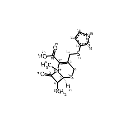 C[N+]12C(=O)C(N)[C@@H]1SCC(CSc1ccns1)=C2C(=O)O